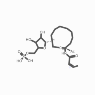 C/C=C\C(=O)N[C@@]1(C(C)=O)CCCCCCC[C@@H](C2OC(COP(=O)(O)O)C(O)C2O)CC1